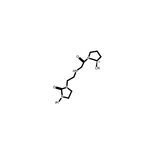 CC(C)N1CCN(CCNCC(=O)N2CCC[C@H]2C#N)C1=O